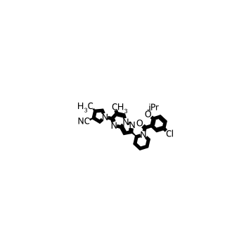 Cc1cn2nc([C@@H]3CCCCN3C(=O)c3cc(Cl)ccc3OC(C)C)cc2nc1N1C[C@@H](C#N)[C@@H](C)C1